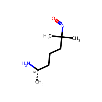 C[C@H](N)CCCC(C)(C)N=O